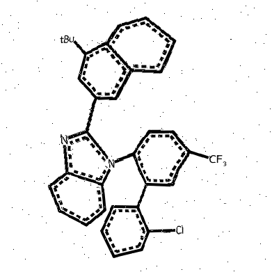 CC(C)(C)c1cc(-c2nc3ccccc3n2-c2ccc(C(F)(F)F)cc2-c2ccccc2Cl)cc2ccccc12